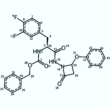 O=C(N[C@@H](Cc1ccc(F)c(F)c1)C(=O)NN1C(=O)CC1Oc1ccccc1)OCc1ccccc1